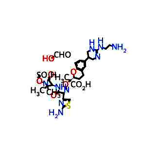 CC(O/N=C(\C(=O)N[C@@H]1C(=O)N(OS(=O)(=O)O)C1(C)C)c1csc(N)n1)(C(=O)O)[C@H]1CCc2cc(C3CN=C(NCCN)NC3)ccc2O1.O=CO